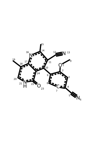 COc1cc(C#N)ccc1-c1c(C#N)c(C)nc2c(C)c[nH]c(=O)c12